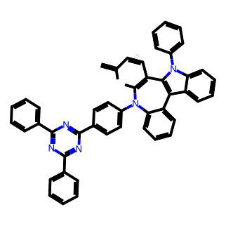 C=C(C)/C=C\C1=C(C)N(c2ccc(-c3nc(-c4ccccc4)nc(-c4ccccc4)n3)cc2)c2ccccc2-c2c1n(-c1ccccc1)c1ccccc21